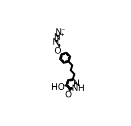 [N-]=[N+]=NCOc1ccc(CCCc2cc(O)c(=O)[nH]n2)cc1